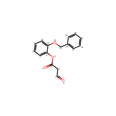 O=CCC(=O)Oc1ccccc1OCc1ccccc1